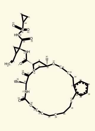 C=CC1C[C@]1(NC(=O)[C@@H]1C[C@@H]2CN1C(=O)[C@H](C(C)(C)C)NC(=O)OCCCCCCCc1ccccc1CCCO2)C(=O)NS(=O)(=O)C1CC1